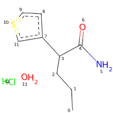 CCCC(C(N)=O)c1ccsc1.Cl.O